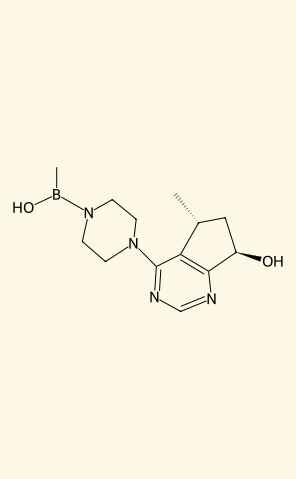 CB(O)N1CCN(c2ncnc3c2[C@H](C)C[C@H]3O)CC1